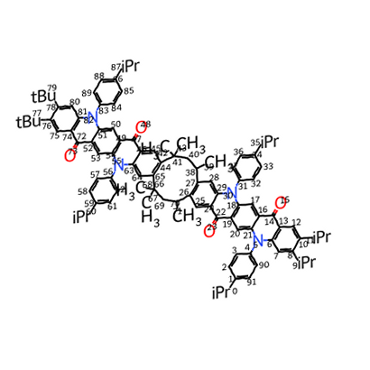 CC(C)c1ccc(-n2c3cc(C(C)C)c(C(C)C)cc3c(=O)c3cc4c(cc32)c(=O)c2cc3c(cc2n4-c2ccc(C(C)C)cc2)C(C)CC(C)(C)c2cc4c(=O)c5cc6c(cc5n(-c5ccc(C(C)C)cc5)c4cc2C(C)(C)CC3C)c(=O)c2cc(C(C)(C)C)c(C(C)(C)C)cc2n6-c2ccc(C(C)C)cc2)cc1